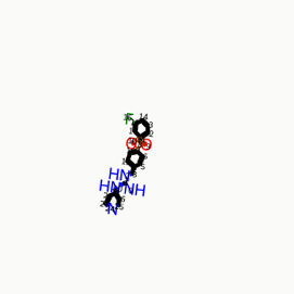 N=C(NCc1ccc(S(=O)(=O)c2cccc(F)c2)cc1)Nc1ccncc1